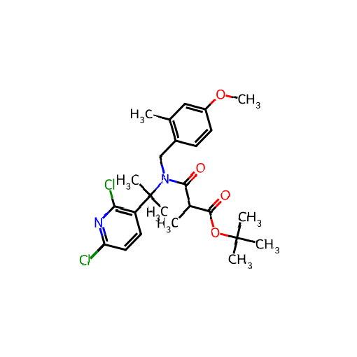 COc1ccc(CN(C(=O)C(C)C(=O)OC(C)(C)C)C(C)(C)c2ccc(Cl)nc2Cl)c(C)c1